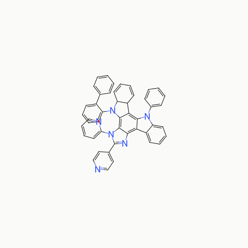 C1=CC2c3c(c4c(nc(-c5ccncc5)n4-c4ccccn4)c4c5ccccc5n(-c5ccccc5)c34)N(c3ccccc3-c3ccccc3)C2C=C1